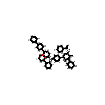 C=C(Oc1cc(-c2ccc(N(c3ccc(-c4ccc(-c5ccccc5)cc4)cc3)c3ccccc3-c3ccccc3)cc2)c2oc3ccccc3c2c1C)c1ccccc1